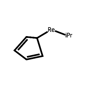 C[CH](C)[Re][CH]1C=CC=C1